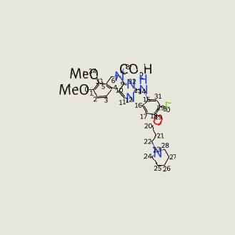 COc1cccc(CN(C(=O)O)c2ccnc(Nc3ccc(OCCCN4CCCCC4)c(F)c3)n2)c1OC